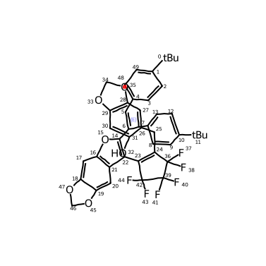 CC(C)(C)c1ccc(/C=C(\c2ccc(C(C)(C)C)cc2)c2oc3cc4c(cc3c2C2=C(Cc3cc5c(cc3O)OCO5)C(F)(F)C(F)(F)C2(F)F)OCO4)cc1